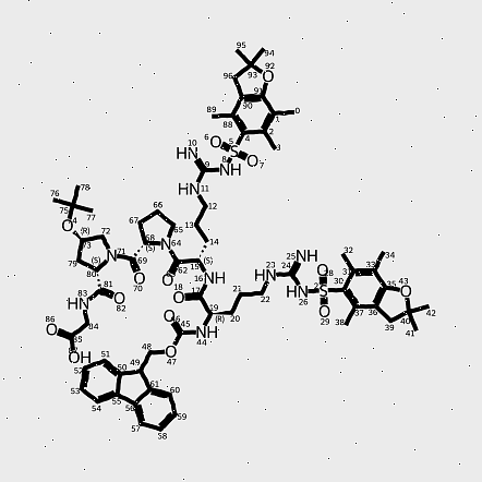 Cc1c(C)c(S(=O)(=O)NC(=N)NCCC[C@H](NC(=O)[C@@H](CCCNC(=N)NS(=O)(=O)c2c(C)c(C)c3c(c2C)CC(C)(C)O3)NC(=O)OCC2c3ccccc3-c3ccccc32)C(=O)N2CCC[C@H]2C(=O)N2C[C@H](OC(C)(C)C)C[C@H]2C(=O)NCC(=O)O)c(C)c2c1OC(C)(C)C2